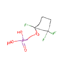 O=P(O)(O)OC1(F)CCC1(F)F